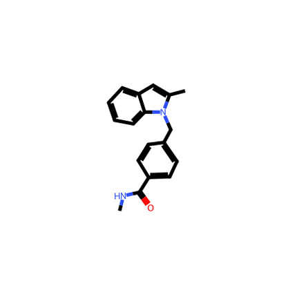 CNC(=O)c1ccc(Cn2c(C)cc3ccccc32)cc1